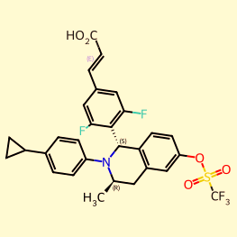 C[C@@H]1Cc2cc(OS(=O)(=O)C(F)(F)F)ccc2[C@@H](c2c(F)cc(/C=C/C(=O)O)cc2F)N1c1ccc(C2CC2)cc1